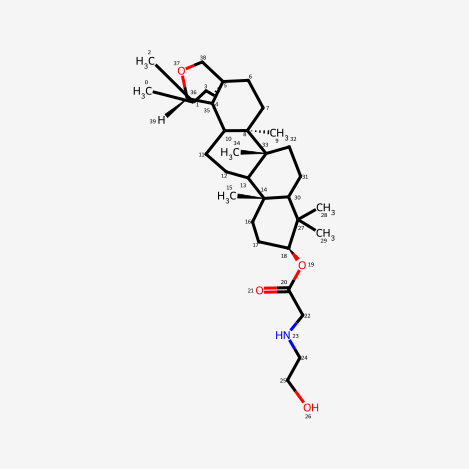 CC1(C)CC[C@]23CC[C@]4(C)C(CCC5[C@@]6(C)CC[C@H](OC(=O)CNCCO)C(C)(C)C6CC[C@]54C)C2[C@H]1OC3